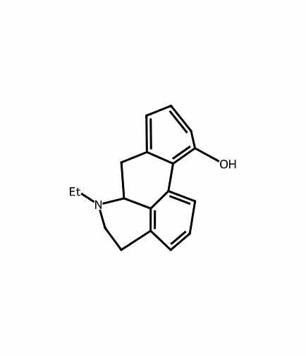 CCN1CCc2cccc3c2C1Cc1cccc(O)c1-3